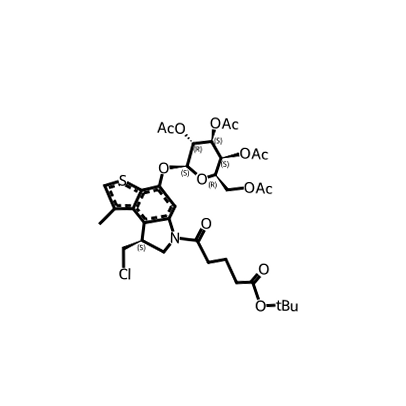 CC(=O)OC[C@H]1O[C@@H](Oc2cc3c(c4c(C)csc24)[C@H](CCl)CN3C(=O)CCCC(=O)OC(C)(C)C)[C@H](OC(C)=O)[C@@H](OC(C)=O)[C@H]1OC(C)=O